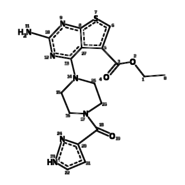 CCOC(=O)c1csc2nc(N)nc(N3CCN(C(=O)c4cc[nH]n4)CC3)c12